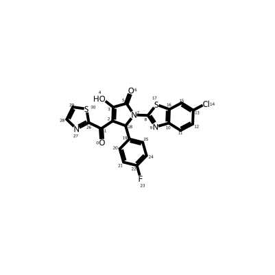 O=C(C1=C(O)C(=O)N(c2nc3ccc(Cl)cc3s2)C1c1ccc(F)cc1)c1nccs1